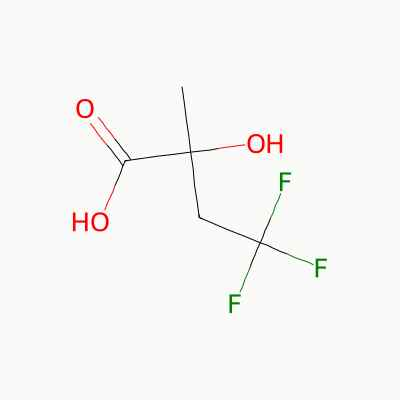 CC(O)(CC(F)(F)F)C(=O)O